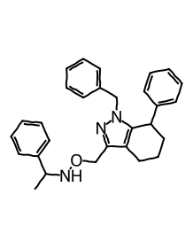 CC(NOCc1nn(Cc2ccccc2)c2c1CCCC2c1ccccc1)c1ccccc1